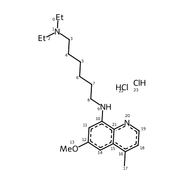 CCN(CC)CCCCCCNc1cc(OC)cc2c(C)ccnc12.Cl.Cl